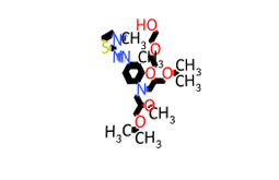 COC(COC(C)C)CN(CC(COC(C)C)OCCOCCO)c1ccc(/N=N/c2scc[n+]2C)c(C)c1